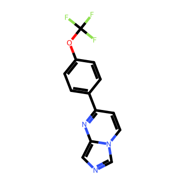 FC(F)(F)Oc1ccc(-c2ccn3cncc3n2)cc1